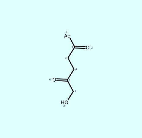 CC(=O)C(=O)CCC(=O)CO